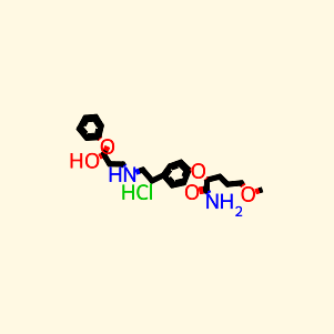 COCCCC(Oc1ccc(CCNCCC(O)Oc2ccccc2)cc1)C(N)=O.Cl